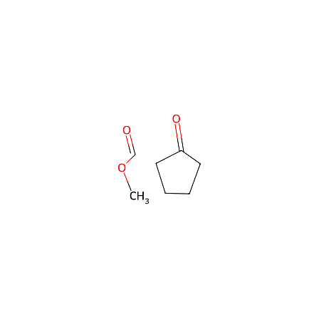 COC=O.O=C1CCCC1